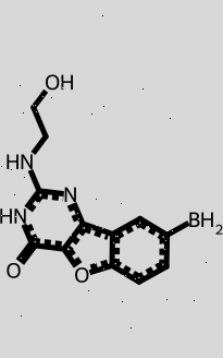 Bc1ccc2oc3c(=O)[nH]c(NCCO)nc3c2c1